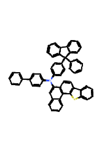 c1ccc(-c2ccc(N(c3ccc(C4(c5ccccc5)c5ccccc5-c5ccccc54)cc3)c3cc4ccccc4c4c3ccc3c5ccccc5sc34)cc2)cc1